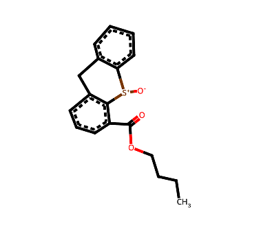 CCCCOC(=O)c1cccc2c1[S+]([O-])c1ccccc1C2